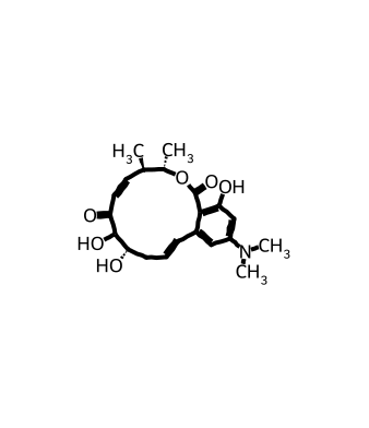 C[C@@H]1/C=C\C(=O)C(O)[C@@H](O)C/C=C/c2cc(N(C)C)cc(O)c2C(=O)O[C@H]1C